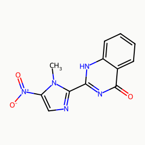 Cn1c([N+](=O)[O-])cnc1-c1nc(=O)c2ccccc2[nH]1